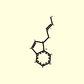 C/C=C/CC1C=Cc2ccccc21